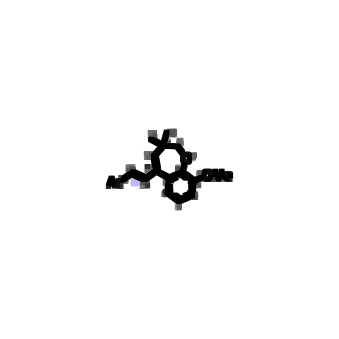 COc1cccc2c1OCC(C)(C)C=C2/C=C/C(C)=O